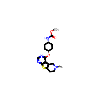 CC(=O)N1CCc2sc3ncnc(O[C@H]4CC[C@H](NC(=O)OC(C)(C)C)CC4)c3c2C1